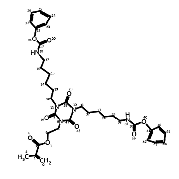 C=C(C)C(=O)OCCn1c(=O)n(CCCCCCNC(=O)Oc2ccccc2)c(=O)n(CCCCCCNC(=O)Oc2ccccc2)c1=O